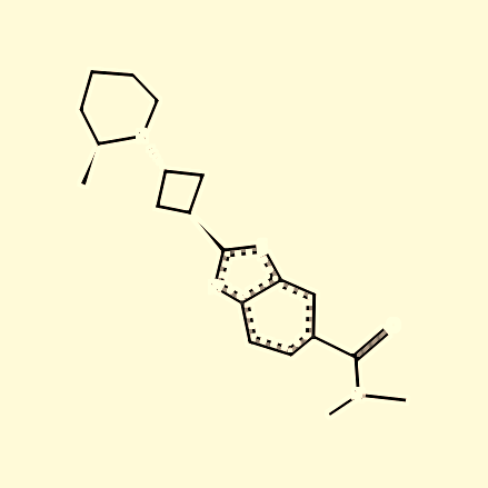 C[C@H]1CCCCN1[C@H]1C[C@H](c2nc3ccc(C(=O)N(C)C)cc3s2)C1